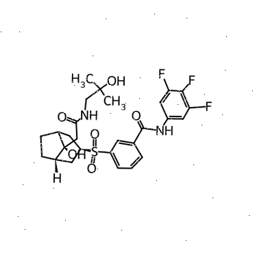 CC(C)(O)CNC(=O)C[C@@]1(O)C2CC[C@H]1C[C@H](S(=O)(=O)c1cccc(C(=O)Nc3cc(F)c(F)c(F)c3)c1)C2